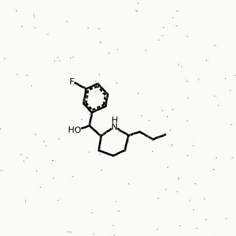 CCCC1CCCC(C(O)c2cccc(F)c2)N1